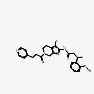 CCOc1ccccc1C(C)CC(=O)Nc1sc2c(c1C#N)CCN(C(=O)CCc1ccncc1)C2